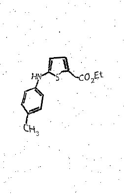 CCOC(=O)c1ccc(Nc2ccc(C)cc2)s1